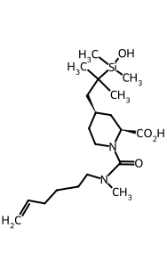 C=CCCCCN(C)C(=O)N1CC[C@@H](CC(C)(C)[Si](C)(C)O)C[C@H]1C(=O)O